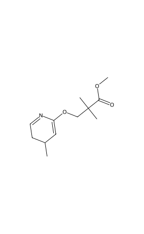 COC(=O)C(C)(C)COC1=CC(C)CC=N1